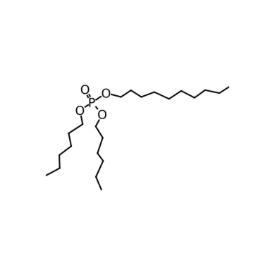 CCCCCCCCCCOP(=O)(OCCCCCC)OCCCCCC